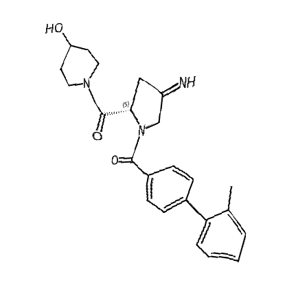 Cc1ccccc1-c1ccc(C(=O)N2CC(=N)C[C@H]2C(=O)N2CCC(O)CC2)cc1